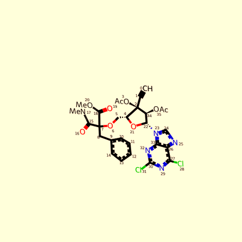 C#C[C@@]1(OC(C)=O)[C@@H](COC(Cc2ccccc2)(C(=O)NC)C(=O)OC)O[C@@H](n2cnc3c(Cl)nc(Cl)nc32)[C@@H]1OC(C)=O